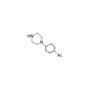 CC(=O)c1ccc(N2[CH]CNCC2)cc1